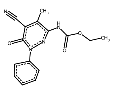 CCOC(=O)Nc1nn(-c2ccccc2)c(=O)c(C#N)c1C